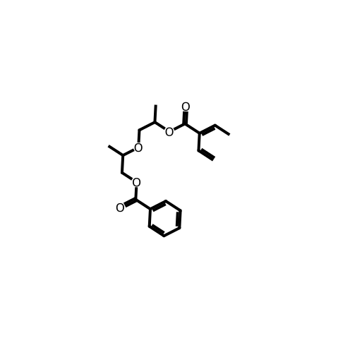 C=C/C(=C\C)C(=O)OC(C)COC(C)COC(=O)c1ccccc1